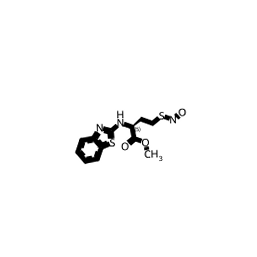 COC(=O)[C@H](CCSN=O)Nc1nc2ccccc2s1